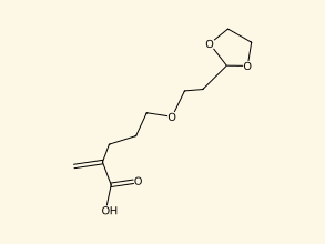 C=C(CCCOCCC1OCCO1)C(=O)O